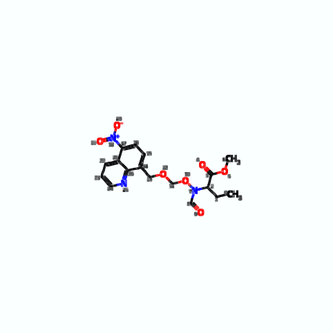 CCC(C(=O)OC)N(C=O)OCOCc1ccc([N+](=O)[O-])c2cccnc12